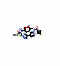 CC(C)(C)c1nc(C23CCC(CN(C(=O)C45CC(F)(C4)C5)c4cc(-c5cnn(C(F)F)c5)ccn4)(CC2)CC3)no1